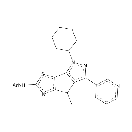 CC(=O)Nc1nc2c(s1)-c1c(c(-c3cccnc3)nn1C1CCCCC1)C2C